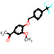 COc1cc(C(C)=O)ccc1OCc1ccc(C(F)(F)F)cc1